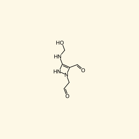 O=CCn1[nH]c(NCO)c1C=O